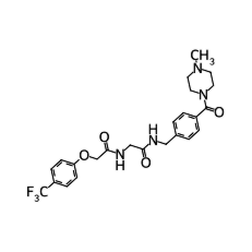 CN1CCN(C(=O)c2ccc(CNC(=O)CNC(=O)COc3ccc(C(F)(F)F)cc3)cc2)CC1